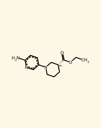 CCOC(=O)[C@@H]1CCCN(c2ccc(N)nc2)C1